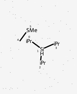 CC(C)[SiH](C(C)C)C(C)C.CSC